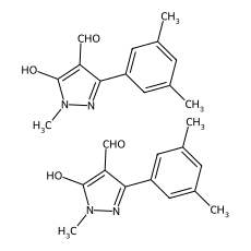 Cc1cc(C)cc(-c2nn(C)c(O)c2C=O)c1.Cc1cc(C)cc(-c2nn(C)c(O)c2C=O)c1